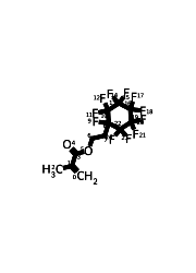 C=C(C)C(=O)OCCC1(F)C(F)(F)C(F)(F)C(F)(F)C(F)(F)C1(F)F